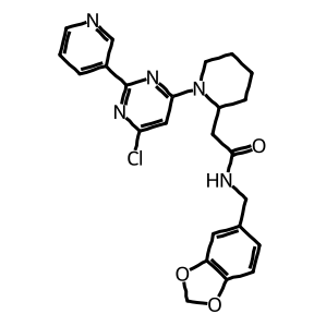 O=C(CC1CCCCN1c1cc(Cl)nc(-c2cccnc2)n1)NCc1ccc2c(c1)OCO2